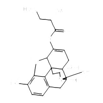 CC(=O)O[C@@H](CC(=O)O)C(=O)OC1=CC[C@@]2(O)[C@H]3Cc4ccc(O)c5c4C2(CCN3C)C1O5